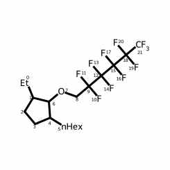 [CH2]CC1C[CH]C(CCCCCC)C1OCC(F)(F)C(F)(F)C(F)(F)C(F)(F)C(F)(F)F